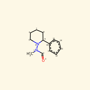 CN([C]=O)N1CCCCC1c1ccccc1